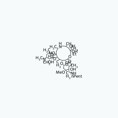 CCCCCNC[C@]1(O)[C@H](C)OC(O[C@@H]2[C@@H](C)[C@@H](O[C@@H]3O[C@H](C)C[C@H](N(C)C)[C@H]3O)[C@](C)(O)C[C@@H](C)NC[C@@H](C)[C@H](O)[C@](C)(O)[C@H](CC)OC(=O)[C@@H]2C)C[C@@]1(C)OC